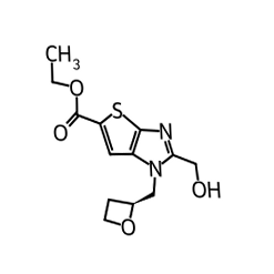 CCOC(=O)c1cc2c(nc(CO)n2C[C@@H]2CCO2)s1